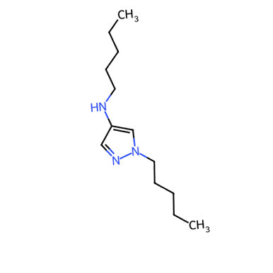 CCCCCNc1cnn(CCCCC)c1